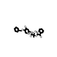 CC(C)(OC1C(=O)c2ccccc2[NH+]1[O-])C(=O)Nc1cc(=O)c(OCc2ccccc2)c[nH]1